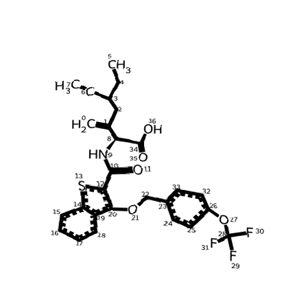 C=C(CC(CC)CC)[C@H](NC(=O)c1sc2ccccc2c1OCc1ccc(OC(F)(F)F)cc1)C(=O)O